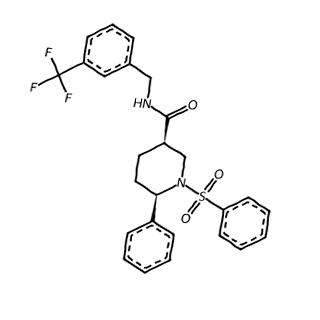 O=C(NCc1cccc(C(F)(F)F)c1)[C@@H]1CC[C@H](c2ccccc2)N(S(=O)(=O)c2ccccc2)C1